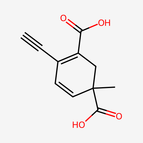 C#CC1=C(C(=O)O)CC(C)(C(=O)O)C=C1